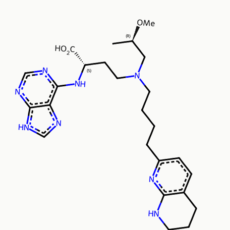 CO[C@H](C)CN(CCCCc1ccc2c(n1)NCCC2)CC[C@H](Nc1ncnc2[nH]cnc12)C(=O)O